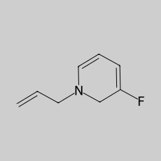 C=CCN1C=CC=C(F)C1